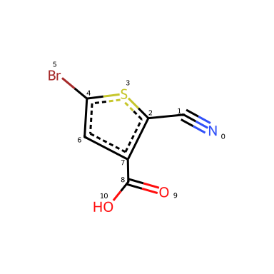 N#Cc1sc(Br)cc1C(=O)O